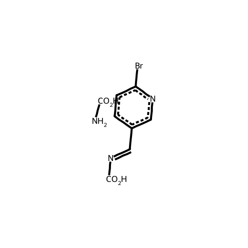 NC(=O)O.O=C(O)N=Cc1ccc(Br)nc1